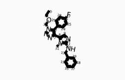 CCOCn1nnc(-c2cnc(NCc3ccccc3)n2C)c1-c1ccc(F)cc1